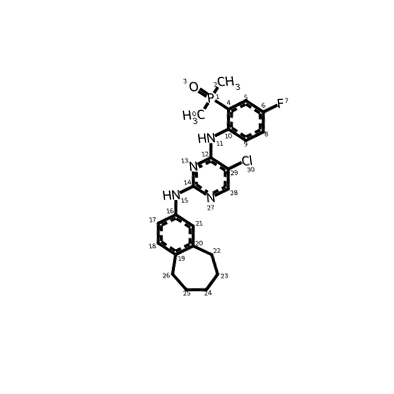 CP(C)(=O)c1cc(F)ccc1Nc1nc(Nc2ccc3c(c2)CCCCC3)ncc1Cl